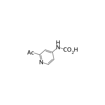 CC(=O)c1cc(NC(=O)O)ccn1